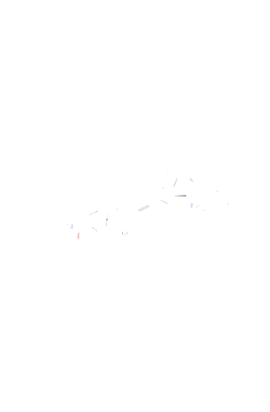 COc1cc(C(=O)NCC(O)O)ccc1NCC#Cc1cc2c(N[C@@H]3CCN(C)C[C@@H]3F)cccc2n1CC(F)(F)F